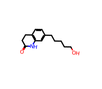 O=C1CCc2ccc(CCCCCO)cc2N1